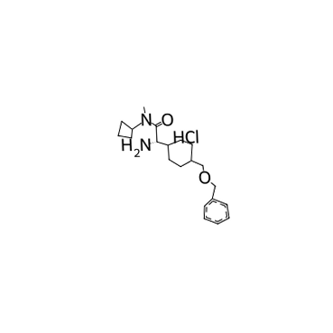 CN(C(=O)[C@@H](N)C1CCC(COCc2ccccc2)CC1)C1CCC1.Cl